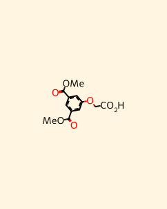 COC(=O)c1cc(OCC(=O)O)cc(C(=O)OC)c1